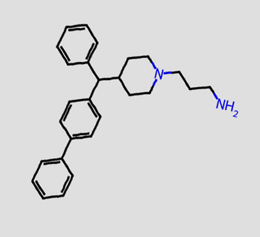 NCCCN1CCC(C(c2ccccc2)c2ccc(-c3ccccc3)cc2)CC1